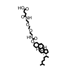 CC(C)CCCC(C)[C@H]1CC[C@H]2[C@@H]3CC=C4C[C@@H](OC(=O)NCCOCCOCCNC(=O)CCC(=O)O)CC[C@]4(C)[C@H]3CC[C@]12C